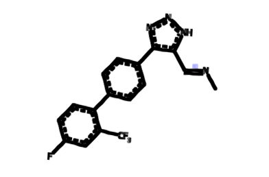 C/N=C/c1[nH]nnc1-c1ccc(-c2ccc(F)cc2C(F)(F)F)cc1